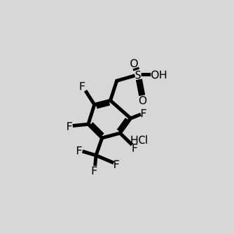 Cl.O=S(=O)(O)Cc1c(F)c(F)c(C(F)(F)F)c(F)c1F